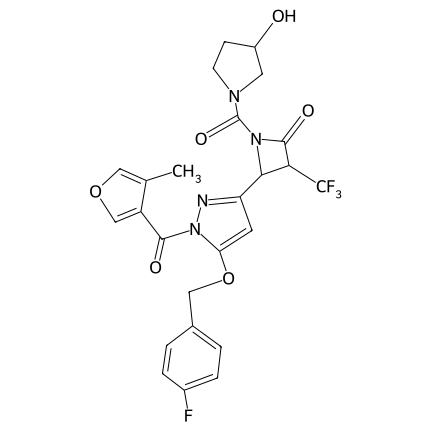 Cc1cocc1C(=O)n1nc(C2C(C(F)(F)F)C(=O)N2C(=O)N2CCC(O)C2)cc1OCc1ccc(F)cc1